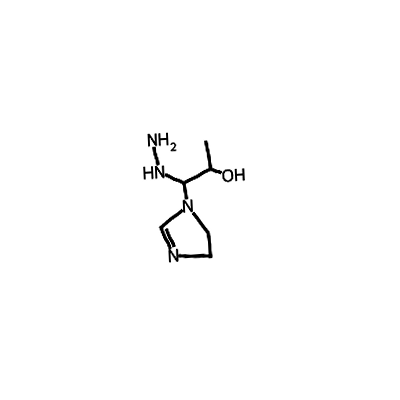 CC(O)C(NN)N1C=NCC1